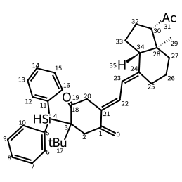 C=C1CC([SiH](c2ccccc2)c2ccccc2)(C(C)(C)C)C(=O)CC1=CC=C1CCC[C@]2(C)[C@@H](C(C)=O)CC[C@@H]12